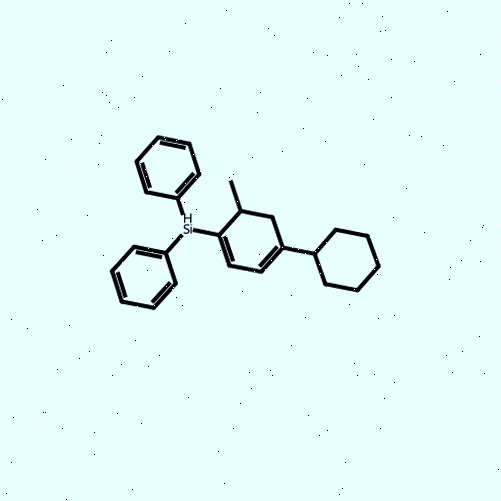 CC1CC(C2CCCCC2)=CC=C1[SiH](c1ccccc1)c1ccccc1